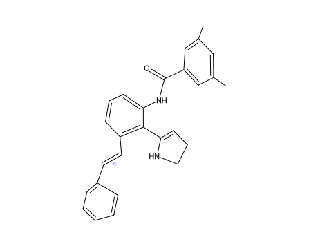 Cc1cc(C)cc(C(=O)Nc2cccc(/C=C/c3ccccc3)c2C2=CCCN2)c1